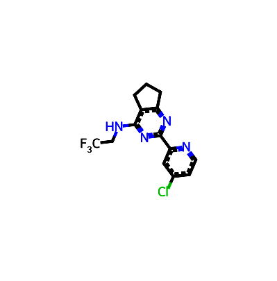 FC(F)(F)CNc1nc(-c2cc(Cl)ccn2)nc2c1CCC2